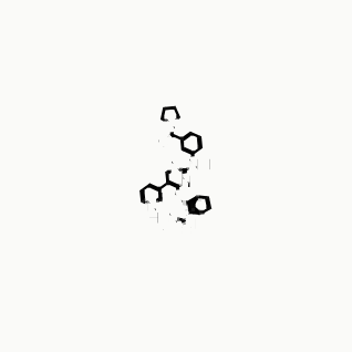 NC(=O)[C@@H]1[C@H](Nc2nc(Nc3cccc(C(=O)N4CCCC4)c3)ncc2-c2cccnc2)[C@H]2C=C[C@@H]1C2